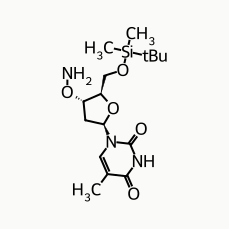 Cc1cn([C@H]2C[C@H](ON)[C@@H](CO[Si](C)(C)C(C)(C)C)O2)c(=O)[nH]c1=O